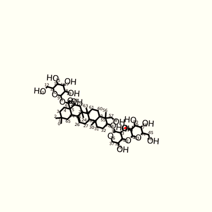 CC1(C)CCC2(C(=O)OC3OC(CO)C(O)C(O)C3O)C(O)CC3(C)C(=CCC4C5(C)CCC(OC6OCC(O)C(OC7OC(CO)C(O)C(O)C7O)C6O)C(C)(CO)C5CCC43C)C2C1